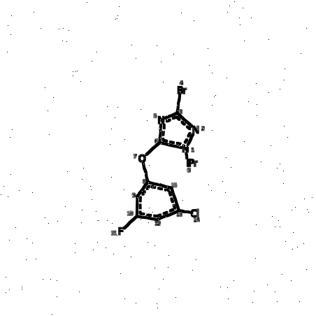 CC(C)n1nc(Br)nc1Oc1cc(F)cc(Cl)c1